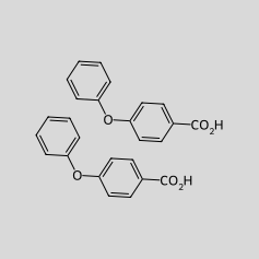 O=C(O)c1ccc(Oc2ccccc2)cc1.O=C(O)c1ccc(Oc2ccccc2)cc1